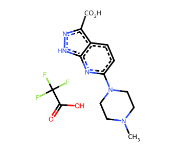 CN1CCN(c2ccc3c(C(=O)O)n[nH]c3n2)CC1.O=C(O)C(F)(F)F